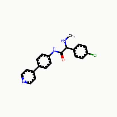 CNC(C(=O)Nc1ccc(-c2ccncc2)cc1)c1ccc(Cl)cc1